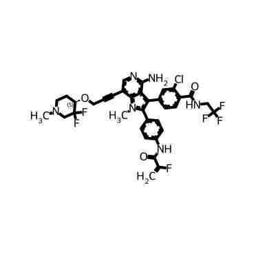 C=C(F)C(=O)Nc1ccc(-c2c(-c3ccc(C(=O)NCC(F)(F)F)c(Cl)c3)c3c(N)ncc(C#CCO[C@H]4CCN(C)CC4(F)F)c3n2C)cc1